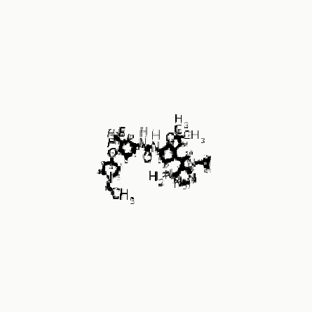 CCN1CCC(Oc2ccc(NC(=O)Nc3ccc(-c4cn(C5CC5)c5ncnc(N)c45)c4c3OC(C)(C)C4)cc2C(F)(F)F)CC1